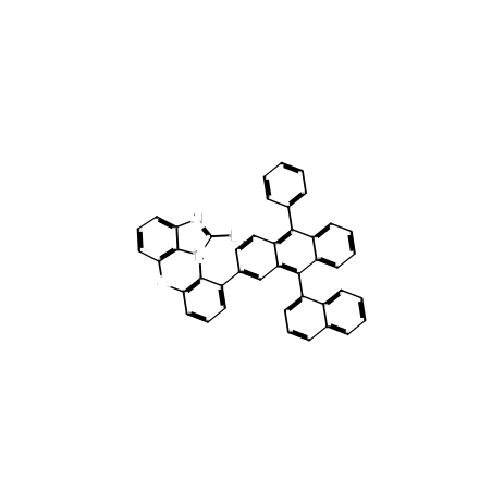 CCc1nc2cccc3c2n1-c1c(cccc1-c1ccc2c(-c4ccccc4)c4ccccc4c(-c4cccc5ccccc45)c2c1)O3